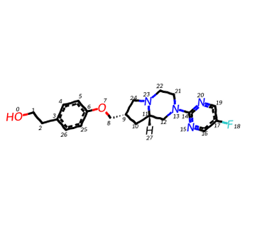 OCCc1ccc(OC[C@H]2C[C@H]3CN(c4ncc(F)cn4)CCN3C2)cc1